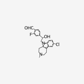 CN1CCc2c(n(CC(O)c3ccc(C=O)c(F)c3)c3ccc(Cl)cc23)CC1